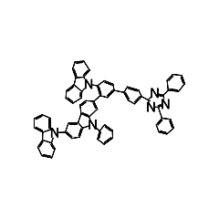 c1ccc(-c2nc(-c3ccccc3)nc(-c3ccc(-c4ccc(-n5c6ccccc6c6ccccc65)c(-c5ccc6c7cc(-n8c9ccccc9c9ccccc98)ccc7n(-c7ccccc7)c6c5)c4)cc3)n2)cc1